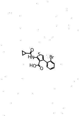 O=C(O)c1c(-c2ccccc2Br)csc1NC(=O)C1CC1